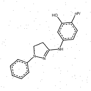 CCCc1ccc(NC2=NN(c3ccccc3)CC2)cc1O